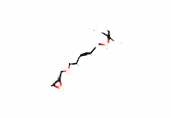 COC(C)(OC)O[SiH2]CCCCOCC1CO1